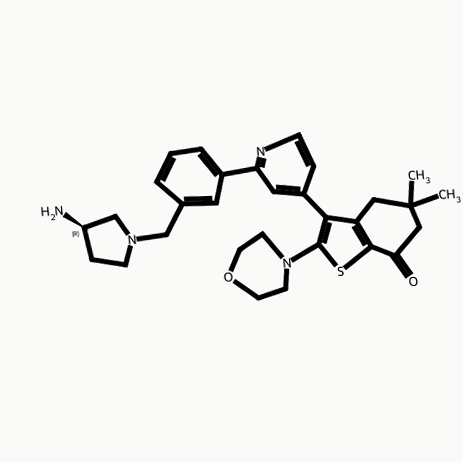 CC1(C)CC(=O)c2sc(N3CCOCC3)c(-c3ccnc(-c4cccc(CN5CC[C@@H](N)C5)c4)c3)c2C1